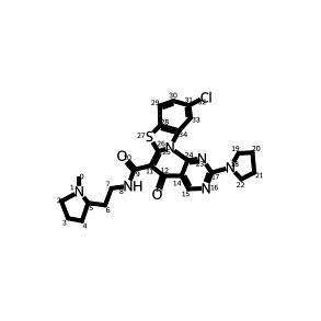 CN1CCCC1CCNC(=O)c1c(=O)c2cnc(N3CCCC3)nc2n2c1sc1ccc(Cl)cc12